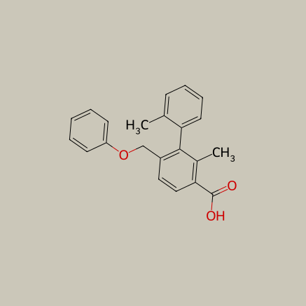 Cc1ccccc1-c1c(COc2ccccc2)ccc(C(=O)O)c1C